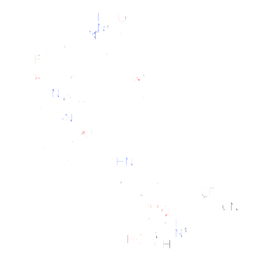 C[C@@](O)(COc1ccc(NCCCCCCOc2ccc3c(=O)[nH]nc(Cc4ccc(F)c(C(=O)N5CCN(C(=O)C6CC6)CC5)c4)c3c2)cc1)C(=O)Nc1ccc(C#N)c(C(F)(F)F)c1